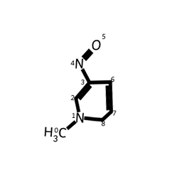 CN1C=C(N=O)C=CC1